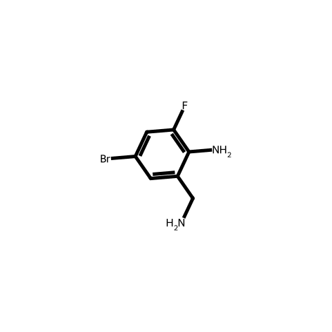 NCc1cc(Br)cc(F)c1N